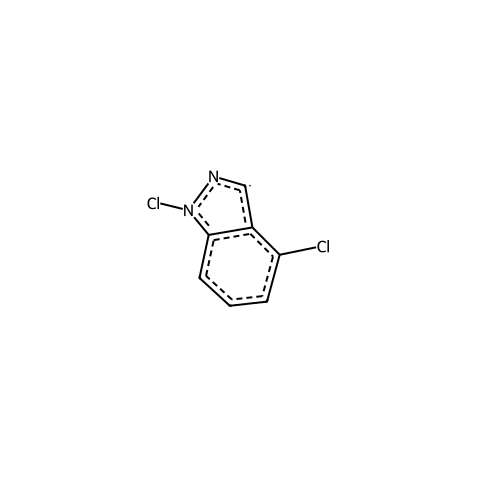 Clc1cccc2c1[c]nn2Cl